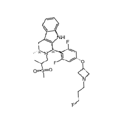 CC(CN1[C@H](c2c(F)cc(OC3CN(CCCF)C3)cc2F)c2[nH]c3ccccc3c2C[C@H]1C)S(C)(=O)=O